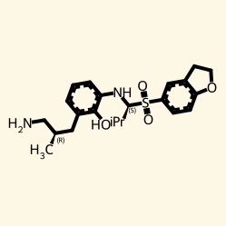 CC(C)[C@@H](Nc1cccc(C[C@@H](C)CN)c1O)S(=O)(=O)c1ccc2c(c1)CCO2